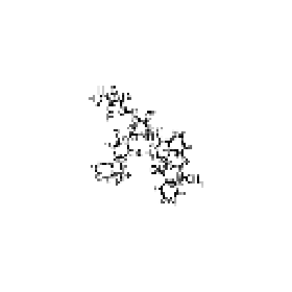 Cc1cc(N2CCOC[C@@H]2C(F)(F)F)cc(F)c1C(=O)N[C@@H](Cc1ccc(-n2c(=O)c3ccncc3n(C)c2=O)c2ncccc12)C(=O)OCOC(=O)C(C)(C)C